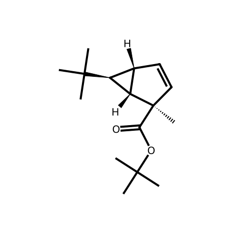 CC(C)(C)OC(=O)[C@]1(C)C=C[C@H]2[C@H](C(C)(C)C)[C@H]21